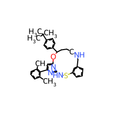 Cc1cccc(C)c1-c1cc2nc(n1)NSc1cccc(c1)CNCCCC(c1ccc(C(C)(C)C)cc1)O2